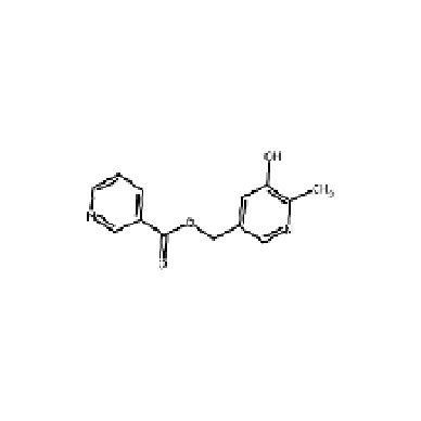 Cc1ncc(COC(=O)c2cccnc2)cc1O